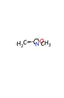 [CH2]C#Cc1ccc(OC)nc1